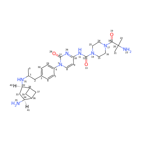 CC(Cc1ccc(-n2ccc(NC(=O)N3CCN(C(=O)C(C)(C)N)CC3)nc2=O)cc1)N[C@@H]1C[C@H](N)C2CC1C2